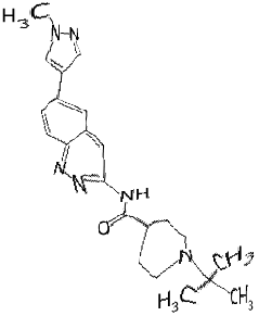 Cn1cc(-c2ccc3nnc(NC(=O)C4CCN(C(C)(C)C)CC4)cc3c2)cn1